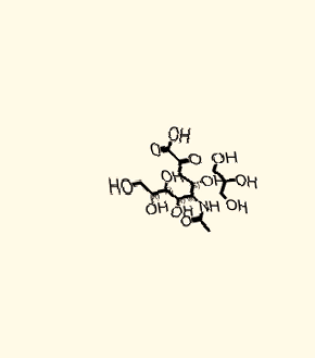 CC(=O)N[C@@H]([C@@H](O)[C@H](O)[C@H](O)CO)[C@@H](O)CC(=O)C(=O)O.OCC(O)CO